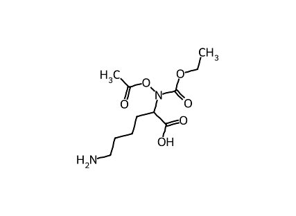 CCOC(=O)N(OC(C)=O)C(CCCCN)C(=O)O